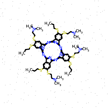 CCCSc1cc2c(cc1SCCN(C)C)-c1nc-2nc2[nH]c(nc3nc(nc4[nH]c(n1)c1cc(SCCC)c(SCCN(C)C)cc41)-c1cc(SCCN(C)C)c(SCCC)cc1-3)c1cc(SCCN(C)C)c(SCCC)cc21